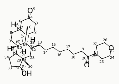 C[C@]12CCC(=O)C[C@@H]1CC[C@@H]1[C@@H]2[C@@H](CCCCCCCC(=O)N2CCOCC2)C[C@]2(C)[C@@H](O)CC[C@@H]12